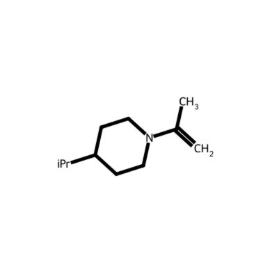 C=C(C)N1CCC(C(C)C)CC1